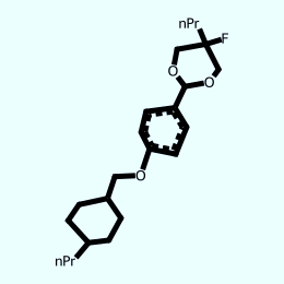 CCCC1CCC(COc2ccc(C3OCC(F)(CCC)CO3)cc2)CC1